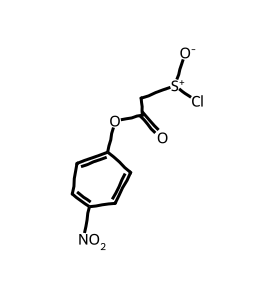 O=C(C[S+]([O-])Cl)Oc1ccc([N+](=O)[O-])cc1